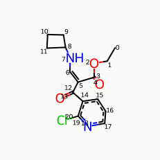 CCOC(=O)C(=CNC1CCC1)C(=O)c1cccnc1Cl